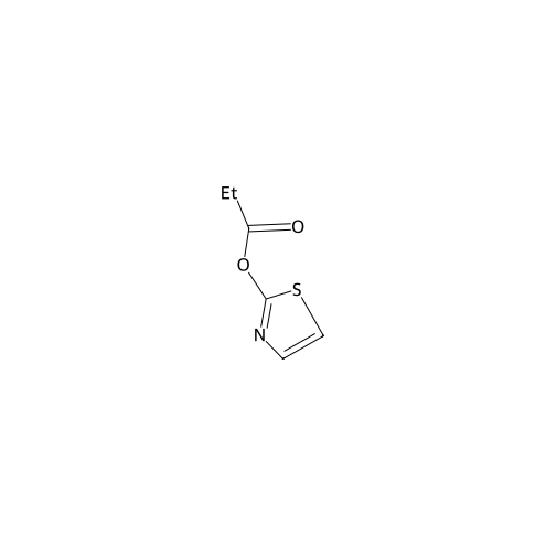 CCC(=O)Oc1nccs1